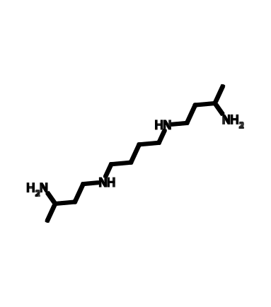 CC(N)CCNCCCCNCCC(C)N